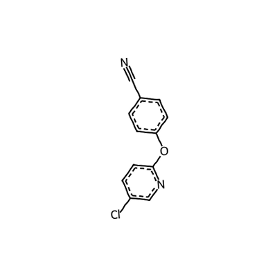 N#Cc1ccc(Oc2ccc(Cl)cn2)cc1